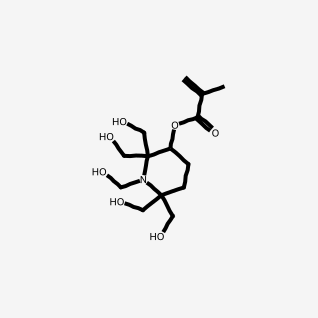 C=C(C)C(=O)OC1CCC(CO)(CO)N(CO)C1(CO)CO